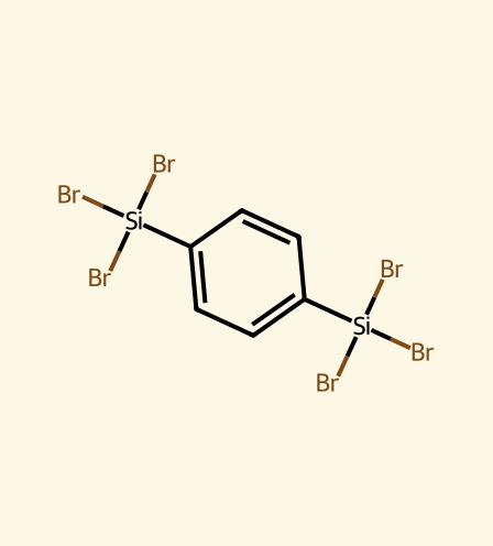 Br[Si](Br)(Br)c1ccc([Si](Br)(Br)Br)cc1